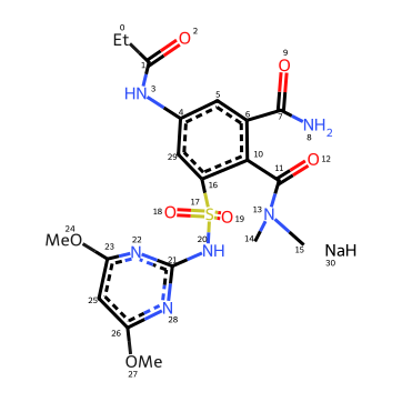 CCC(=O)Nc1cc(C(N)=O)c(C(=O)N(C)C)c(S(=O)(=O)Nc2nc(OC)cc(OC)n2)c1.[NaH]